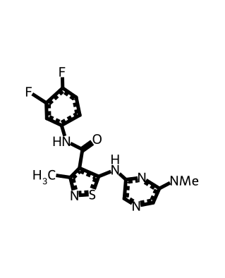 CNc1cncc(Nc2snc(C)c2C(=O)Nc2ccc(F)c(F)c2)n1